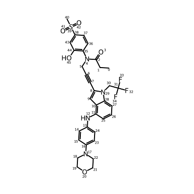 CCC(=O)N(CC#Cc1cc2c(Nc3ccc(N4CCOCC4)cc3)cccc2n1CC(F)(F)F)c1ccc(S(C)(=O)=O)cc1O